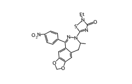 CCn1sc(N2N=C(c3ccc([N+](=O)[O-])cc3)c3cc4c(cc3CC2C)OCO4)nc1=O